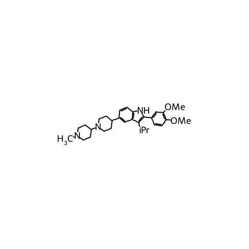 COc1ccc(-c2[nH]c3ccc(C4CCN(C5CCN(C)CC5)CC4)cc3c2C(C)C)cc1OC